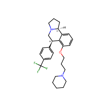 FC(F)(F)c1ccc([C@H]2CN3CCC[C@H]3c3cccc(OCCCN4CCCCC4)c32)cc1